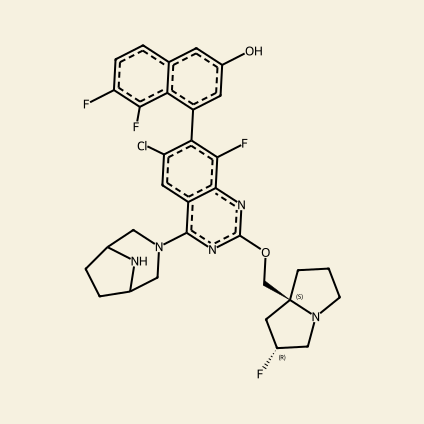 Oc1cc(-c2c(Cl)cc3c(N4CC5CCC(C4)N5)nc(OC[C@@]45CCCN4C[C@H](F)C5)nc3c2F)c2c(F)c(F)ccc2c1